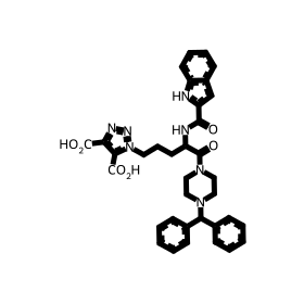 O=C(NC(CCCn1nnc(C(=O)O)c1C(=O)O)C(=O)N1CCN(C(c2ccccc2)c2ccccc2)CC1)c1cc2ccccc2[nH]1